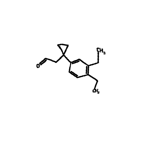 CCc1ccc(C2(CC=O)CC2)cc1CC